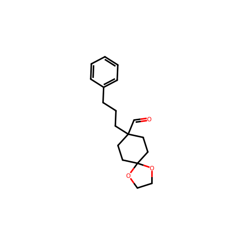 O=CC1(CCCc2ccccc2)CCC2(CC1)OCCO2